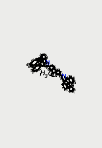 CC1(C)c2cc(-c3ccc4c(n3)-c3ccccc3C4(C3CCCCC3)C3CCCCC3)ccc2-c2ccc(-c3ccc4c(n3)-c3ccccc3C4(C3CCCCC3)C3CCCCC3)cc21